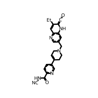 CCC1=Cc2ncc(CN3CC=C(c4ccc(C(=O)NC#N)nc4)CC3)cc2NC1=C=O